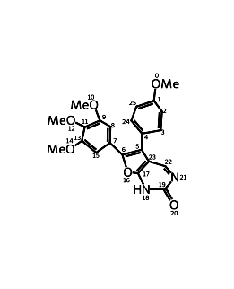 COc1ccc(-c2c(-c3cc(OC)c(OC)c(OC)c3)oc3[nH]c(=O)ncc23)cc1